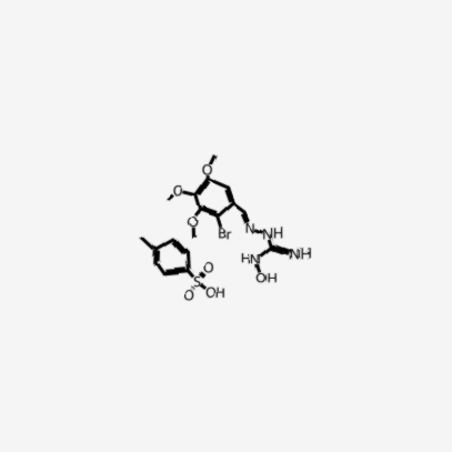 COc1cc(C=NNC(=N)NO)c(Br)c(OC)c1OC.Cc1ccc(S(=O)(=O)O)cc1